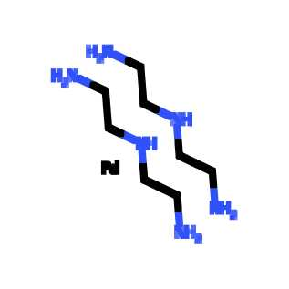 NCCNCCN.NCCNCCN.[Pd]